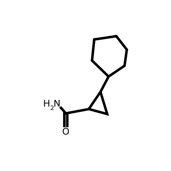 NC(=O)C1CC1C1CCCCC1